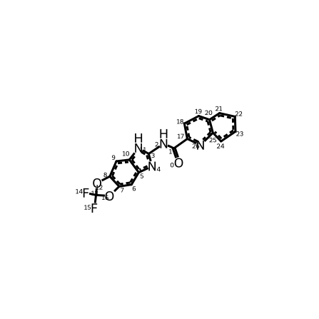 O=C(Nc1nc2cc3c(cc2[nH]1)OC(F)(F)O3)c1ccc2ccccc2n1